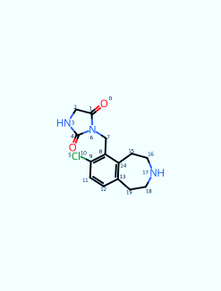 O=C1CNC(=O)N1Cc1c(Cl)ccc2c1CCNCC2